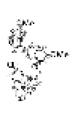 COc1cc(OCc2csc(C3(c4ccc(Cl)cc4)CCOC3)n2)c2cc(-c3cnc4sc(OC)nn34)oc2c1